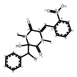 CN1C(=O)C(O)(C(Br)c2ccccc2)N(C)C(=O)/C1=C/c1ccccc1[N+](=O)[O-]